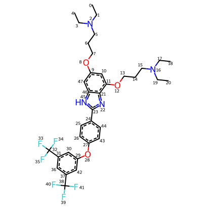 CCN(CC)CCCOc1cc(OCCCN(CC)CC)c2nc(-c3ccc(Oc4cc(C(F)(F)F)cc(C(F)(F)F)c4)cc3)[nH]c2c1